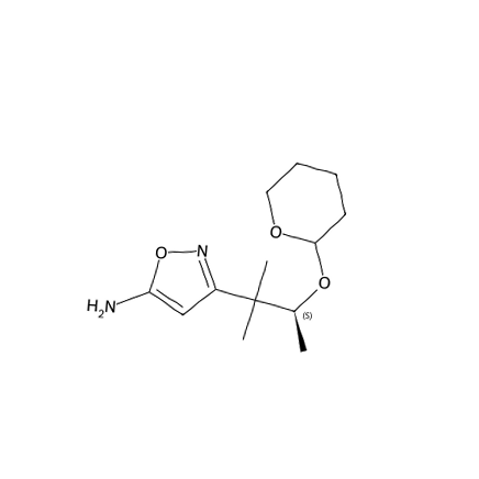 C[C@H](OC1CCCCO1)C(C)(C)c1cc(N)on1